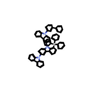 c1ccc(-c2cccc(-n3c4ccccc4c4cc(-n5c6ccc(-n7c8ccccc8c8ccccc87)cc6c6cccc([Si](c7ccccc7)(c7ccccc7)c7ccccc7)c65)ccc43)c2)cc1